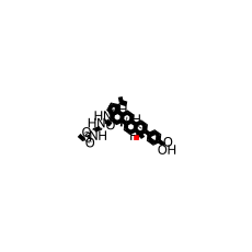 C=C(C)[C@@H]1CC[C@]2(NC(=O)NCCNS(=O)(=O)CC)CC[C@]3(C)[C@H](CC[C@@H]4[C@@]5(C)CC=C(c6ccc(C(=O)O)cc6)C(C)(C)[C@@H]5CC[C@]43C)[C@@H]12